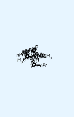 CCCC#Cc1cccc(CNC[C@@H](OC(=O)N2CCN(C)CC2)[C@H](Cc2cc(F)cc(F)c2)NC(=O)c2cc(C)cc(C(=O)N(CCC)CCC)c2)c1